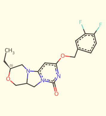 CC[C@H]1CN2c3cc(OCc4ccc(F)c(F)c4)nc(=O)n3CC2CO1